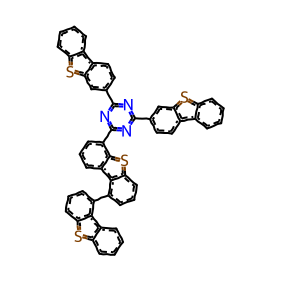 c1ccc2c(c1)sc1cc(-c3nc(-c4ccc5c(c4)sc4ccccc45)nc(-c4cccc5c4sc4cccc(-c6cccc7sc8ccccc8c67)c45)n3)ccc12